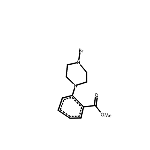 COC(=O)c1ccccc1N1CCN(Br)CC1